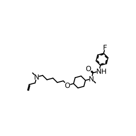 C=CCN(C)CCCCCOC1CCC(N(C)C(=O)Nc2ccc(F)cc2)CC1